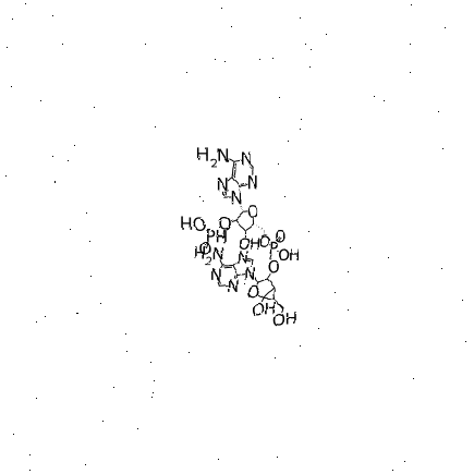 Nc1ncnc2c1ncn2[C@@H]1O[C@H](COP(=O)(O)CO[C@H]2C3[C@@H](CO)C3(O)O[C@H]2n2cnc3c(N)ncnc32)C(O)C1OC[PH](=O)O